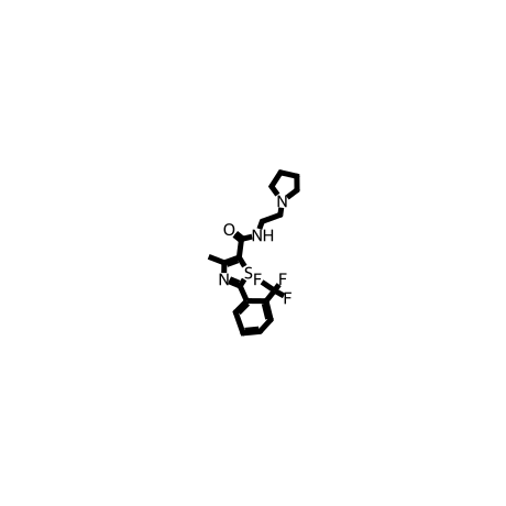 Cc1nc(-c2ccccc2C(F)(F)F)sc1C(=O)NCCN1CCCC1